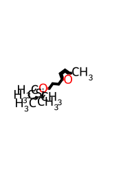 Cc1ccc(CCCO[Si](C)(C)C(C)(C)C)o1